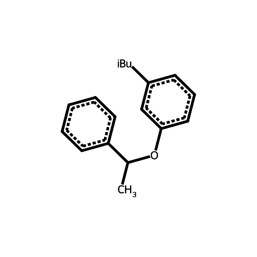 CCC(C)c1cccc(OC(C)c2ccccc2)c1